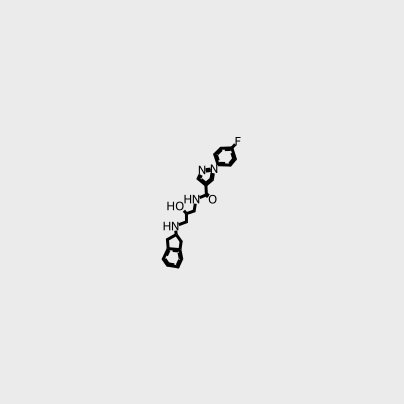 O=C(NCC(O)CNC1Cc2ccccc2C1)c1cnn(-c2ccc(F)cc2)c1